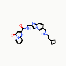 O=C(NCc1cn2cc(CNCCC3CCC3)ccc2n1)c1cc(=O)n2ccccc2n1